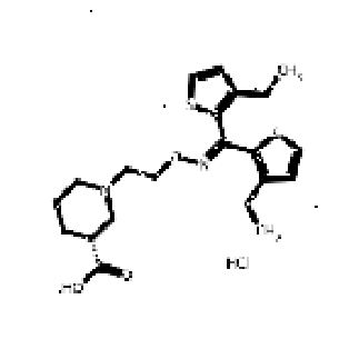 CCc1ccsc1C(=NOCCN1CCC[C@@H](C(=O)O)C1)c1sccc1CC.Cl